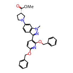 COC(=O)[C@H]1CCN(c2ccc3c(-c4ccc(OCc5ccccc5)nc4OCc4ccccc4)nn(C)c3c2)C1